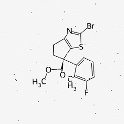 COC(=O)[C@@]1(c2cccc(F)c2C)CCc2nc(Br)sc21